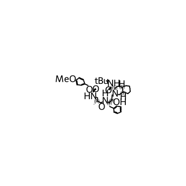 COc1ccc(COC(=O)NC[C@@H](C)C(=O)N[C@@H](Cc2ccccc2)[C@H](O)CN2C[C@H]3CCCC[C@H]3C[C@H]2C(=O)NC(C)(C)C)cc1